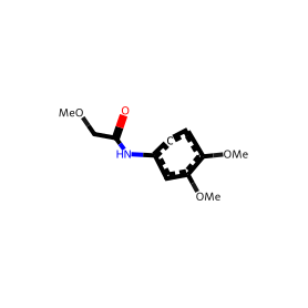 COCC(=O)Nc1ccc(OC)c(OC)c1